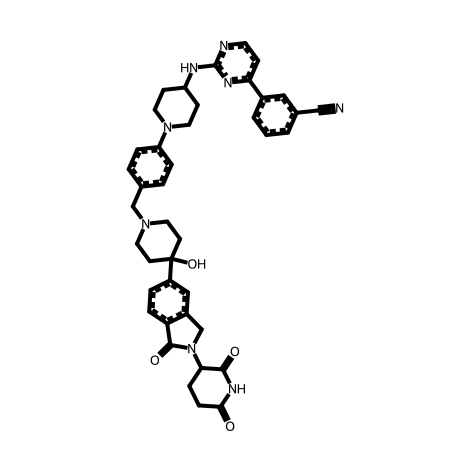 N#Cc1cccc(-c2ccnc(NC3CCN(c4ccc(CN5CCC(O)(c6ccc7c(c6)CN(C6CCC(=O)NC6=O)C7=O)CC5)cc4)CC3)n2)c1